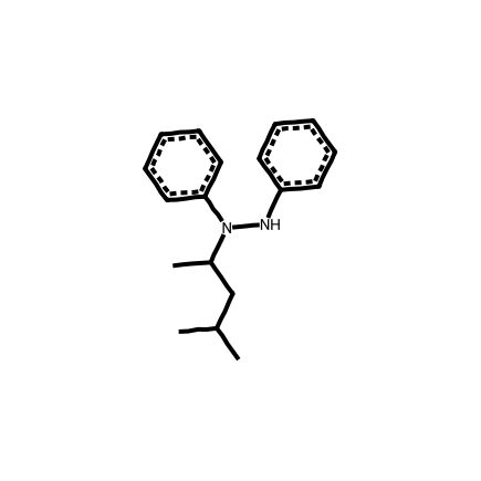 CC(C)CC(C)N(Nc1ccccc1)c1ccccc1